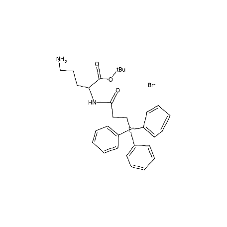 CC(C)(C)OC(=O)C(CCCN)NC(=O)CC[P+](c1ccccc1)(c1ccccc1)c1ccccc1.[Br-]